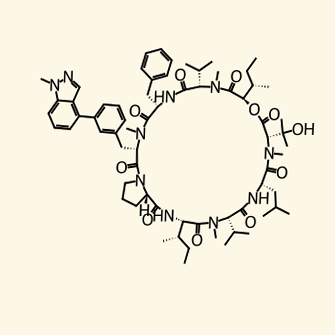 CC[C@H](C)[C@@H]1NC(=O)[C@@H]2CCCN2C(=O)[C@H](Cc2cccc(-c3cccc4c3cnn4C)c2)N(C)C(=O)[C@H](Cc2ccccc2)NC(=O)[C@H](C(C)C)N(C)C(=O)[C@@H]([C@@H](C)CC)OC(=O)[C@H](C(C)(C)O)N(C)C(=O)[C@H](CC(C)C)NC(=O)[C@H](C(C)C)N(C)C1=O